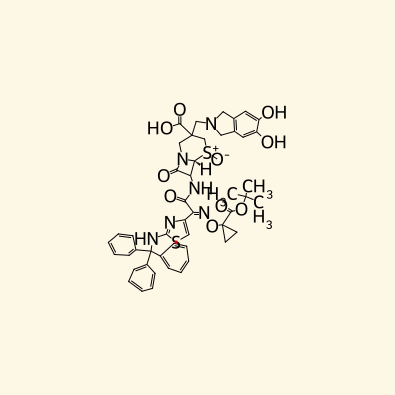 CC(C)(C)OC(=O)C1(ON=C(C(=O)NC2C(=O)N3CC(CN4Cc5cc(O)c(O)cc5C4)(C(=O)O)C[S+]([O-])[C@H]23)c2csc(NC(c3ccccc3)(c3ccccc3)c3ccccc3)n2)CC1